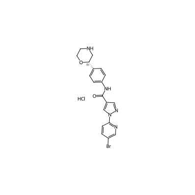 Cl.O=C(Nc1ccc([C@H]2CNCCO2)cc1)c1cnn(-c2ccc(Br)cn2)c1